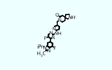 Cc1nc2c(F)cc(-c3nc(Nc4ccc(CN5CCC6(CCNC6)CC5=O)cn4)ncc3F)cc2n1C(C)C